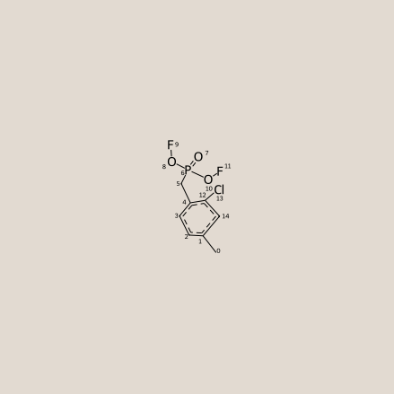 Cc1ccc(CP(=O)(OF)OF)c(Cl)c1